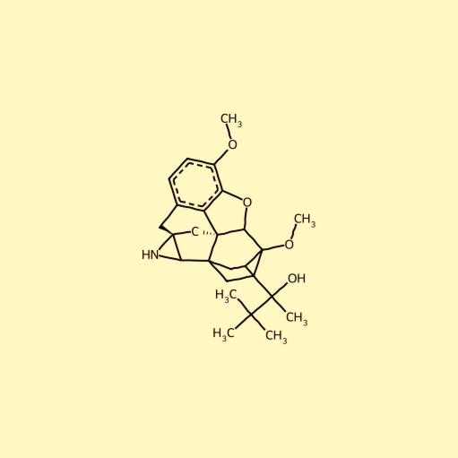 COc1ccc2c3c1OC1C4(OC)CCC5(CC4C(C)(O)C(C)(C)C)C4N[C@]4(C2)C[C@]315